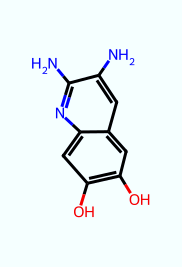 Nc1cc2cc(O)c(O)cc2nc1N